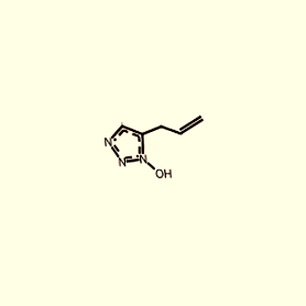 C=CCc1[c]nnn1O